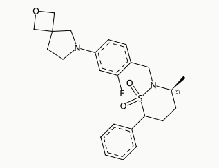 C[C@H]1CCC(c2ccccc2)S(=O)(=O)N1Cc1ccc(N2CCC3(COC3)C2)cc1F